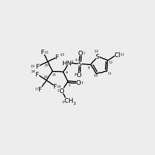 COC(=O)C(NS(=O)(=O)c1ccc(Cl)s1)C(C(F)(F)F)C(F)(F)F